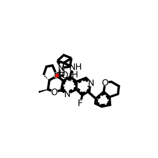 C[C@H](Oc1nc2c(F)c(-c3cccc4c3OCCC4)ncc2c(N[C@H]2C3CC2N(C(=O)O)C3)c1I)[C@@H]1CCCN1C